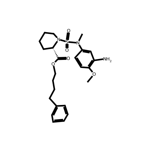 COc1ccc(N(C)S(=O)(=O)N2CCCC[C@H]2C(=O)OCCCCc2ccccc2)cc1N